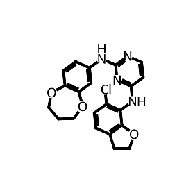 Clc1ccc2c(c1Nc1ccnc(Nc3ccc4c(c3)OCCCO4)n1)OCC2